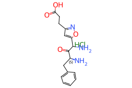 Cl.NC(C(=O)[C@@H](N)Cc1ccccc1)c1cc(CCC(=O)O)no1